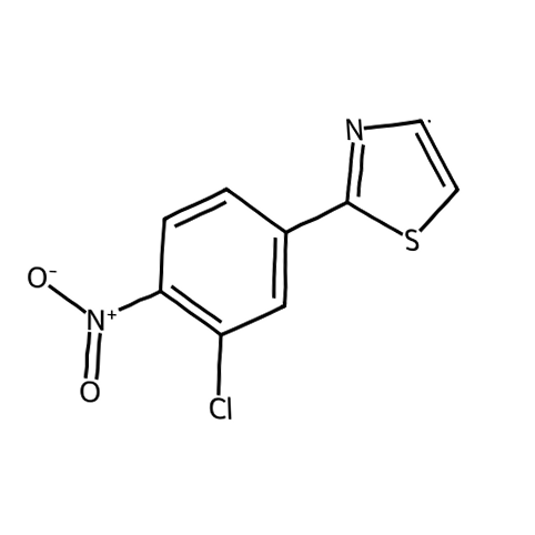 O=[N+]([O-])c1ccc(-c2n[c]cs2)cc1Cl